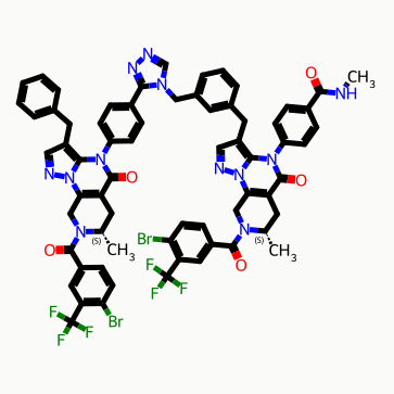 CNC(=O)c1ccc(-n2c(=O)c3c(n4ncc(Cc5cccc(Cn6cnnc6-c6ccc(-n7c(=O)c8c(n9ncc(Cc%10ccccc%10)c79)CN(C(=O)c7ccc(Br)c(C(F)(F)F)c7)[C@@H](C)C8)cc6)c5)c24)CN(C(=O)c2ccc(Br)c(C(F)(F)F)c2)[C@@H](C)C3)cc1